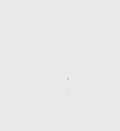 COc1cc(NC(=O)Nc2ccc(C(F)(F)F)cc2)ccc1C(=O)NCCCN1CCCCC1C